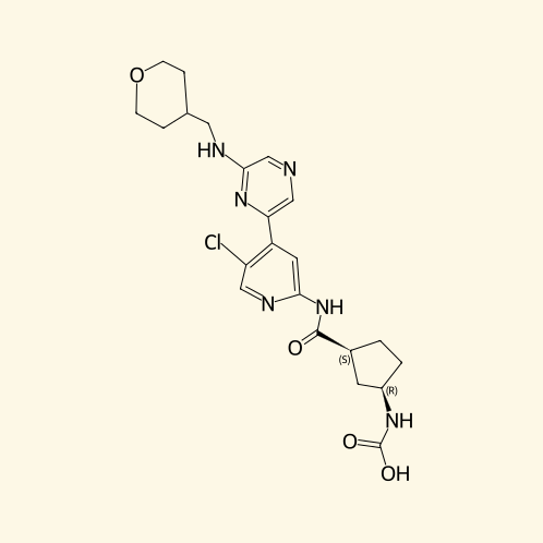 O=C(O)N[C@@H]1CC[C@H](C(=O)Nc2cc(-c3cncc(NCC4CCOCC4)n3)c(Cl)cn2)C1